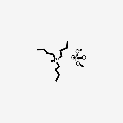 CCCC[P+](C)(CCCC)CCCC.COP(=O)([O-])OC